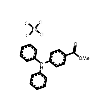 COC(=O)c1ccc([PH+](c2ccccc2)c2ccccc2)cc1.[Cl][Fe-]([Cl])([Cl])[Cl]